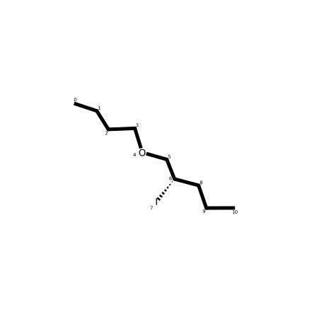 CCCCOC[C@@H](I)CCC